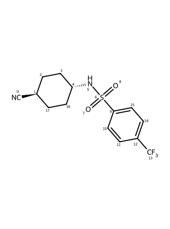 N#C[C@H]1CC[C@H](NS(=O)(=O)c2ccc(C(F)(F)F)cc2)CC1